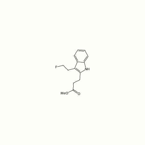 COC(=O)CCc1[nH]c2ccccc2c1CCF